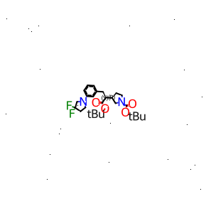 CC(C)(C)OC(=O)[C@@H](Cc1cccc(N2CCC(F)(F)C2)c1)[C@H]1CCN(C(=O)OC(C)(C)C)C1